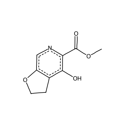 COC(=O)c1ncc2c(c1O)CCO2